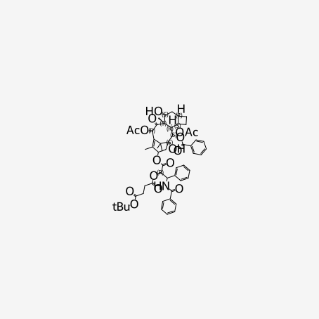 CC(=O)O[C@H]1C(=O)[C@@]2(C)[C@H]([C@H](OC(=O)c3ccccc3)[C@]3(O)CC(OC(=O)[C@H](OC(=O)CCC(=O)OC(C)(C)C)C(NC(=O)c4ccccc4)c4ccccc4)C(C)=C1C3(C)C)[C@]1(OC(C)=O)CC[C@@H]1C[C@@H]2O